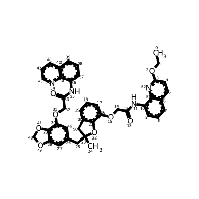 CCOc1ccc2cccc(NC(=O)COc3cccc4c3OC(C)(Cc3cc5c(c(OCC(=O)Nc6cccc7cccnc67)c3)OCO5)C4)c2n1